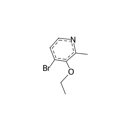 CCOc1c(Br)ccnc1C